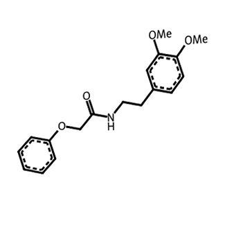 COc1ccc(CCNC(=O)COc2ccccc2)cc1OC